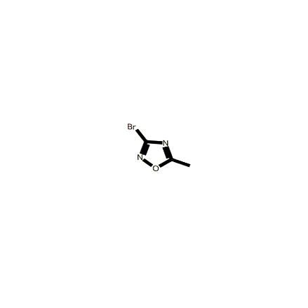 Cc1nc(Br)no1